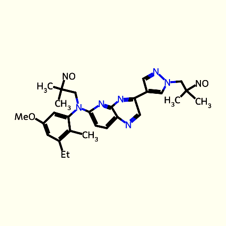 CCc1cc(OC)cc(N(CC(C)(C)N=O)c2ccc3ncc(-c4cnn(CC(C)(C)N=O)c4)nc3n2)c1C